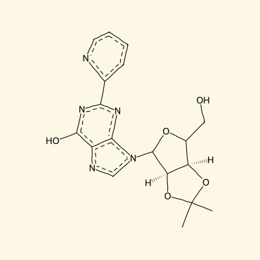 CC1(C)O[C@@H]2C(CO)OC(n3cnc4c(O)nc(-c5ccccn5)nc43)[C@@H]2O1